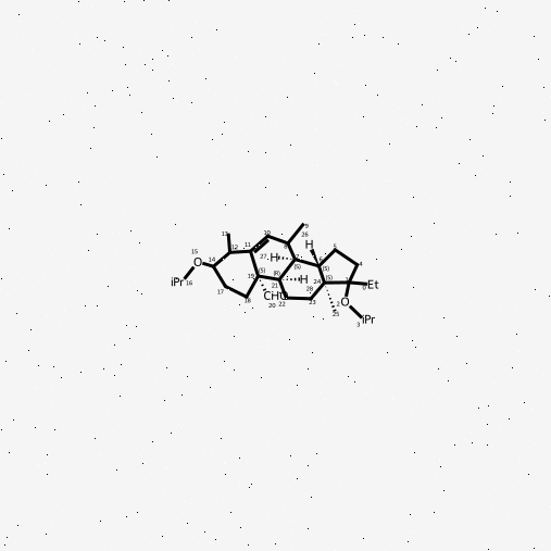 CCC1(OC(C)C)CC[C@H]2[C@@H]3C(C)C=C4C(C)C(OC(C)C)CC[C@]4(C=O)[C@@H]3CC[C@@]21C